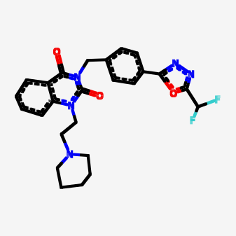 O=c1c2ccccc2n(CCN2CCCCC2)c(=O)n1Cc1ccc(-c2nnc(C(F)F)o2)cc1